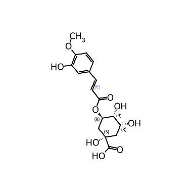 COc1ccc(/C=C/C(=O)O[C@@H]2C[C@](O)(C(=O)O)C[C@@H](O)[C@H]2O)cc1O